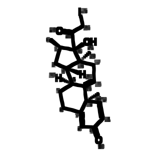 C[C@@H]1C[C@H]2[C@@H]3CCC4=CC(=O)C=C[C@]4(C)C3=CC[C@]2(C)[C@@]1(O)C(=O)CI